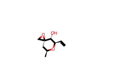 C=C[C@H]1O[C@@H](C)C[C@@]2(CO2)[C@@H]1O